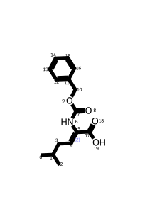 CC(C)C/C=C(\NC(=O)OCc1ccccc1)C(=O)O